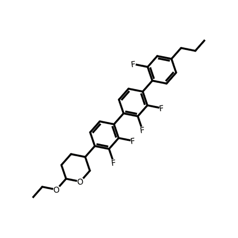 CCCc1ccc(-c2ccc(-c3ccc(C4CCC(OCC)OC4)c(F)c3F)c(F)c2F)c(F)c1